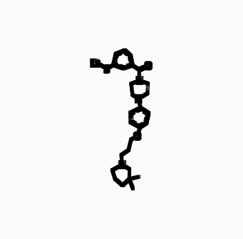 CCSc1cccc(C(=O)N2CCN(c3ccc(OCCCN4CCCC(C)(C)C4)cc3)CC2)c1